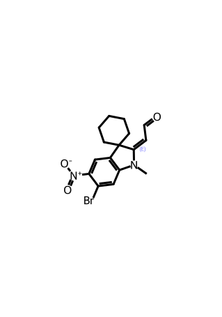 CN1/C(=C/C=O)C2(CCCCC2)c2cc([N+](=O)[O-])c(Br)cc21